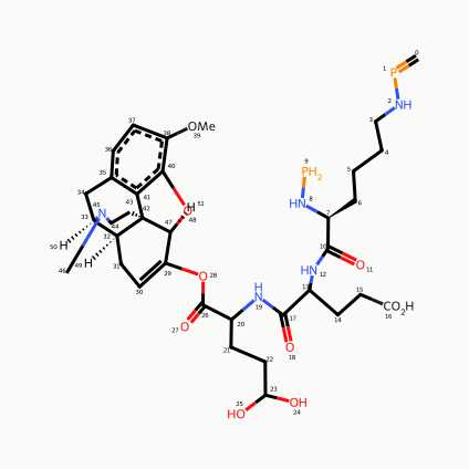 C=PNCCCC[C@H](NP)C(=O)NC(CCC(=O)O)C(=O)NC(CCC(O)O)C(=O)OC1=CC[C@H]2[C@H]3Cc4ccc(OC)c5c4[C@@]2(CCN3C)[C@H]1O5